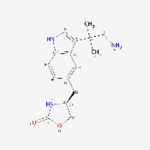 CC(C)(CN)c1c[nH]c2ccc(C[C@H]3COC(=O)N3)cc12